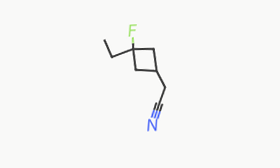 CCC1(F)CC(CC#N)C1